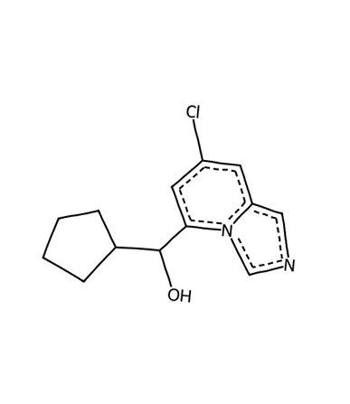 OC(c1cc(Cl)cc2cncn12)C1CCCC1